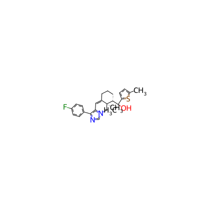 Cc1ccc([C@@](C)(O)[C@H]2CCCC3=Cc4c(-c5ccc(F)cc5)ncn4C[C@@]32C)s1